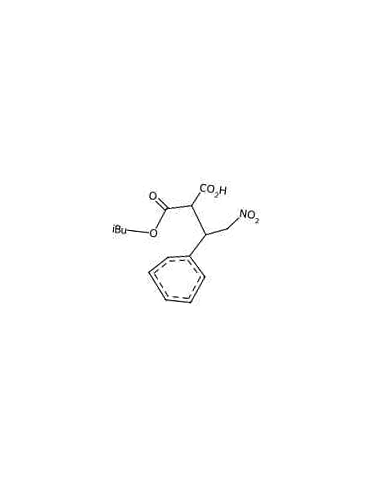 CCC(C)OC(=O)C(C(=O)O)C(C[N+](=O)[O-])c1ccccc1